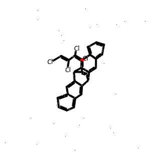 Cl/C=C(Cl)/C(Cl)=C(/Cl)C1=CC2c3cc4ccccc4cc3C1c1cc3ccccc3cc12